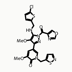 COc1c(-c2cc(OC)c(=O)n(Cc3ccns3)c2)nn(C(=O)c2cocn2)c1NCc1ccc(Cl)s1